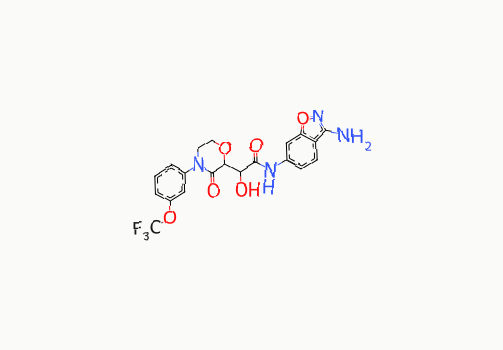 Nc1noc2cc(NC(=O)C(O)C3OCCN(c4cccc(OC(F)(F)F)c4)C3=O)ccc12